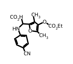 CCOC(=O)Oc1c(C)oc(C(Nc2ccc(C#N)cc2)C(=O)O)c1C